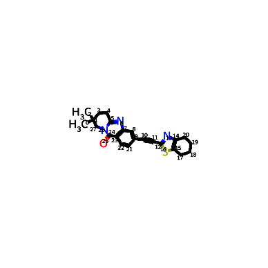 CC1(C)CCc2nc3cc(C#Cc4nc5c(s4)CCCC5)ccc3c(=O)n2C1